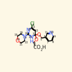 O=C(O)COC1(OCc2cccnc2)C=C(Cl)N=C(N2CCOCC2)N1